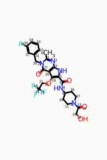 Cc1nc2[nH]c(C(=O)NC3CCN(C(=O)CO)CC3)c(OCC(F)(F)F)c2c(=O)n1Cc1cccc(F)c1